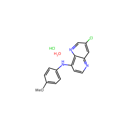 COc1ccc(Nc2ccnc3cc(Cl)cnc23)cc1.Cl.O